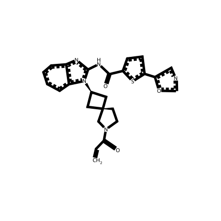 C=CC(=O)N1CC[C@]2(C1)C[C@H](n1c(NC(=O)c3ccc(-c4cnco4)s3)nc3ccccc31)C2